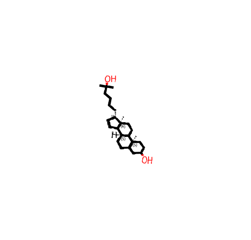 CC(C)(O)CCCC[C@H]1CCC2[C@@H]3CCC4CC(O)CC[C@]4(C)C3CC[C@@]21C